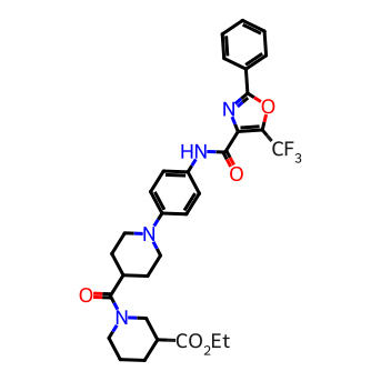 CCOC(=O)C1CCCN(C(=O)C2CCN(c3ccc(NC(=O)c4nc(-c5ccccc5)oc4C(F)(F)F)cc3)CC2)C1